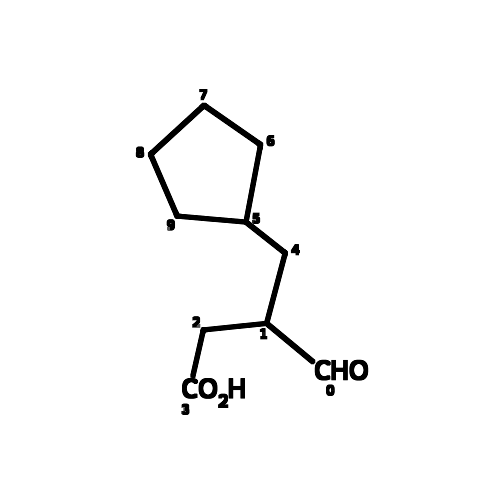 O=CC(CC(=O)O)CC1CCCC1